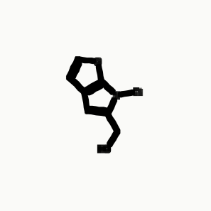 CCn1c(CO)cc2ccoc21